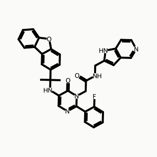 CC(C)(Nc1cnc(-c2ccccc2F)n(CC(=O)NCc2cc3cnccc3[nH]2)c1=O)c1ccc2oc3ccccc3c2c1